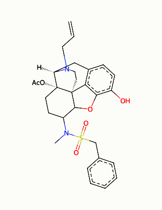 C=CCN1CC[C@]23c4c5ccc(O)c4OC2C(N(C)S(=O)(=O)Cc2ccccc2)CC[C@@]3(OC(C)=O)[C@H]1C5